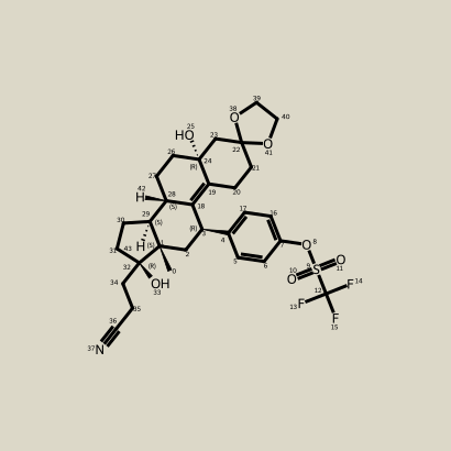 C[C@]12C[C@H](c3ccc(OS(=O)(=O)C(F)(F)F)cc3)C3=C4CCC5(C[C@]4(O)CC[C@H]3[C@@H]1CC[C@@]2(O)CCC#N)OCCO5